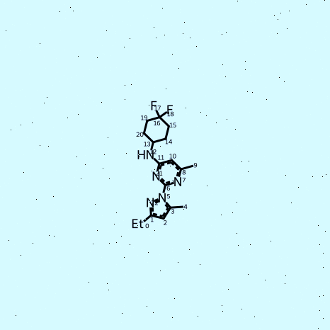 CCc1cc(C)n(-c2nc(C)cc(NC3CCC(F)(F)CC3)n2)n1